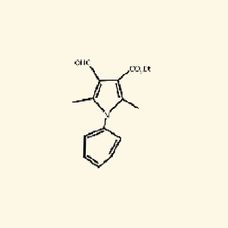 CCOC(=O)c1c(C=O)c(C)n(-c2ccccc2)c1C